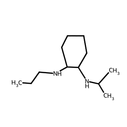 CCCNC1CCCCC1NC(C)C